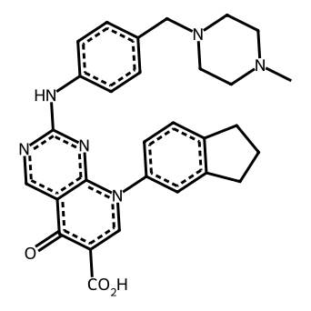 CN1CCN(Cc2ccc(Nc3ncc4c(=O)c(C(=O)O)cn(-c5ccc6c(c5)CCC6)c4n3)cc2)CC1